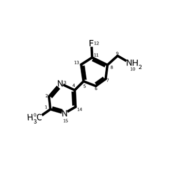 Cc1cnc(-c2ccc(CN)c(F)c2)cn1